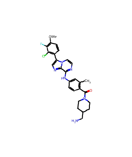 COc1ccc(-c2cnc3c(Nc4ccc(C(=O)N5CCC(CN)CC5)c(C)c4)nccn23)c(Cl)c1F